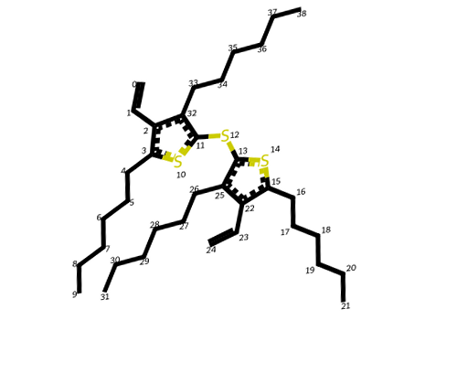 C=Cc1c(CCCCCC)sc(Sc2sc(CCCCCC)c(C=C)c2CCCCCC)c1CCCCCC